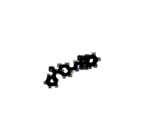 O=C(c1ccccc1)N1CCC(/C=C/[Si](O)(O)c2ccccc2)CC1